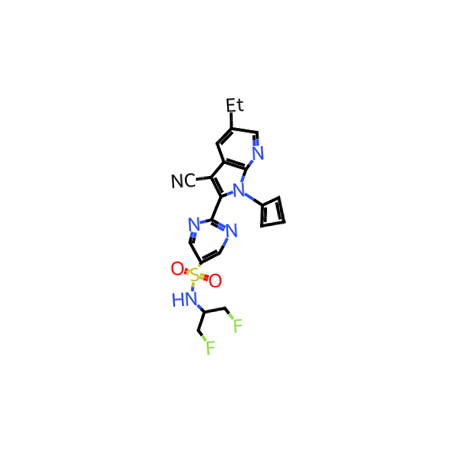 CCc1cnc2c(c1)c(C#N)c(-c1ncc(S(=O)(=O)NC(CF)CF)cn1)n2C1=CC=C1